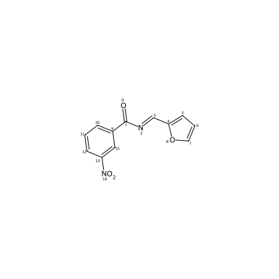 O=C(N=Cc1ccco1)c1cccc([N+](=O)[O-])c1